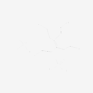 BrCCC(CCBr)=C(CCBr)CCBr.O=P(O)(O)O.O=P(O)(O)O